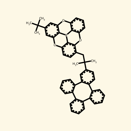 CC(C)(C)c1cc2c3c(c1)Oc1ccc(CC(C)(C)c4ccc5c(c4)-c4ccccc4-c4ccccc4-c4ccccc4-5)c4c1B3c1c(cccc1O4)O2